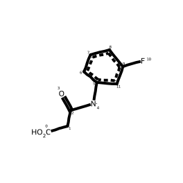 O=C(O)CC(=O)[N]c1cccc(F)c1